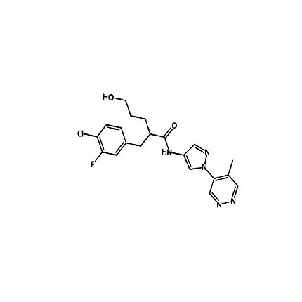 Cc1cnncc1-n1cc(NC(=O)C(CCCO)Cc2ccc(Cl)c(F)c2)cn1